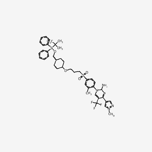 Cc1cc(S(=O)(=O)CCCOC2CCC(CO[Si](c3ccccc3)(c3ccccc3)C(C)(C)C)CC2)ccc1N1C=C(C(F)(F)F)C(c2cnn(C)c2)=NC1N